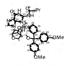 COc1ccc(C(OC[C@]23COC(C2O[PH](O)=S)[C@H](n2cnc4c(=O)[nH]c(NC(=O)C(C)C)nc42)O3)(c2ccccc2)c2ccc(OC)cc2)cc1